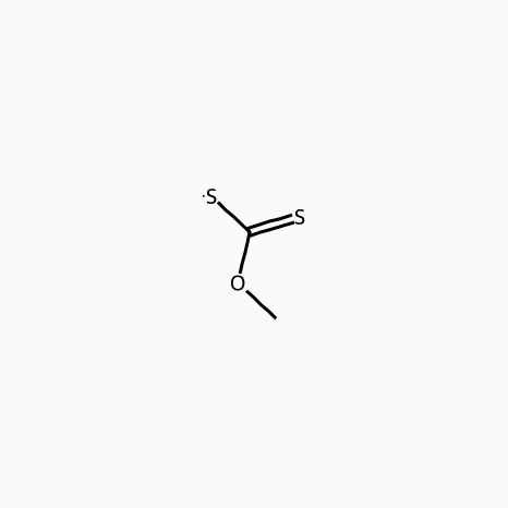 COC([S])=S